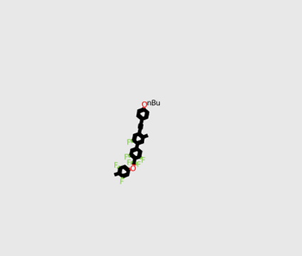 CCCCOc1ccc(C#Cc2cc(F)c(-c3cc(F)c(C(F)(F)Oc4cc(F)c(C)c(F)c4)c(F)c3)cc2C)cc1